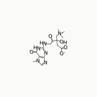 Cn1cnc2nc(NCC(=O)C(O)(CC(=O)[O-])C[N+](C)(C)C)[nH]c(=O)c21